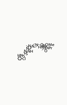 C=C(Nc1c(C)cccc1Cl)c1cnc(Nc2cc(N3CCN(CCOP(=O)(COC)NC(C)C(=O)OC(C)C)CC3)nc(C)n2)s1